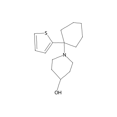 OC1CCN(C2(c3cccs3)CCCCC2)CC1